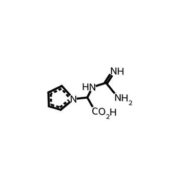 N=C(N)NC(C(=O)O)n1cccc1